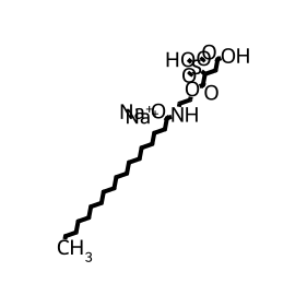 CCCCCCCCCCCCCCCCCC(=O)NCCOC(=O)C(CC(=O)O)S(=O)(=O)O.[Na+].[Na+]